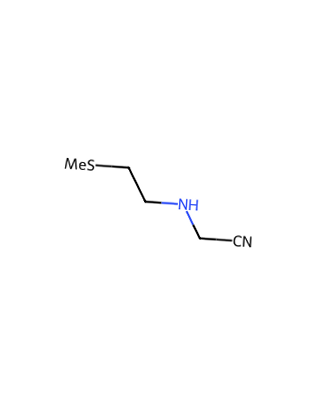 CSCCNCC#N